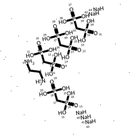 NCCN.O=P(O)(O)CP(=O)(O)O.O=P(O)(O)CP(=O)(O)O.O=P(O)(O)CP(=O)(O)O.O=P(O)(O)CP(=O)(O)O.[NaH].[NaH].[NaH].[NaH].[NaH]